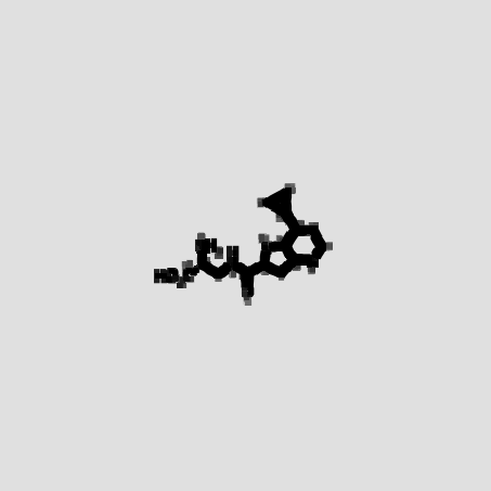 N[C@H](CNC(=O)C1CC2=NCCC(C3CC3)C2S1)C(=O)O